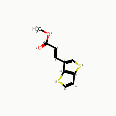 COC(=O)/C=C/c1csc2ccsc12